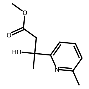 COC(=O)CC(C)(O)c1cccc(C)n1